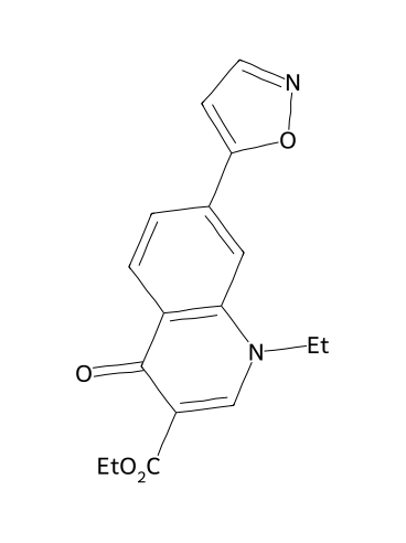 CCOC(=O)c1cn(CC)c2cc(-c3ccno3)ccc2c1=O